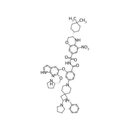 CC(C)c1ccccc1[C@@H]1CCCN1C1CC2(CCN(c3ccc(C(=O)NS(=O)(=O)c4cc5c(c([N+](=O)[O-])c4)N[C@@H](C4CCC(C)(C)CC4)CO5)c(Oc4cc5cc[nH]c5nc4OC[C@@H]4CCCN4)c3)CC2)C1